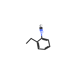 [C-]#[N+]c1ccccc1CC